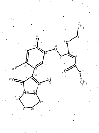 CCO/C(=C/C(=O)OC)COc1cc(-c2c(Cl)n3n(c2=O)CCCC3)c(F)cc1Cl